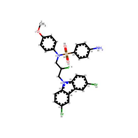 COc1ccc(N(CC(F)Cn2c3ccc(Br)cc3c3cc(Br)ccc32)S(=O)(=O)c2ccc(N)cc2)cc1